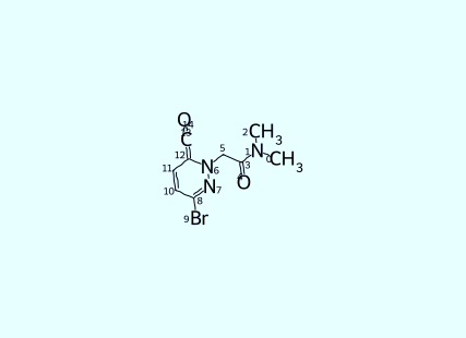 CN(C)C(=O)CN1N=C(Br)C=CC1=C=O